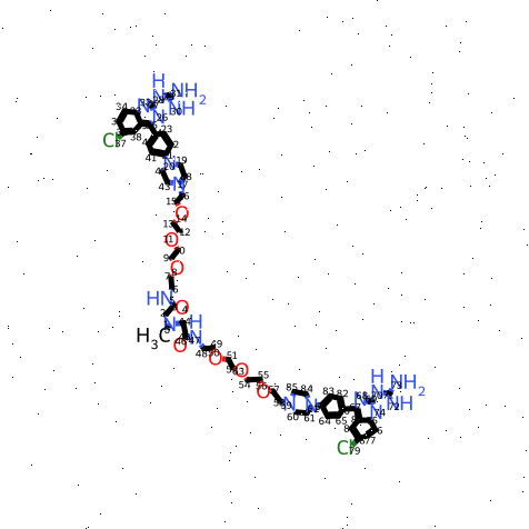 CN(CC(=O)NCCOCCOCCOCCN1CCN(c2ccc(-c3nc(NC(=N)N)nc4ccc(Cl)cc34)cc2)CC1)CC(=O)NCCOCCOCCOCCN1CCN(c2ccc(-c3nc(NC(=N)N)nc4ccc(Cl)cc34)cc2)CC1